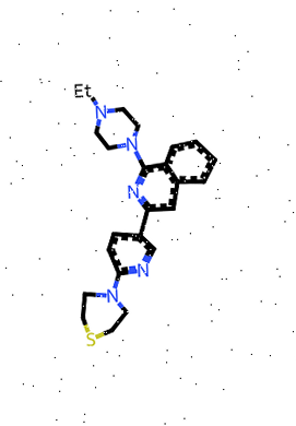 CCN1CCN(c2nc(-c3ccc(N4CCSCC4)nc3)cc3ccccc23)CC1